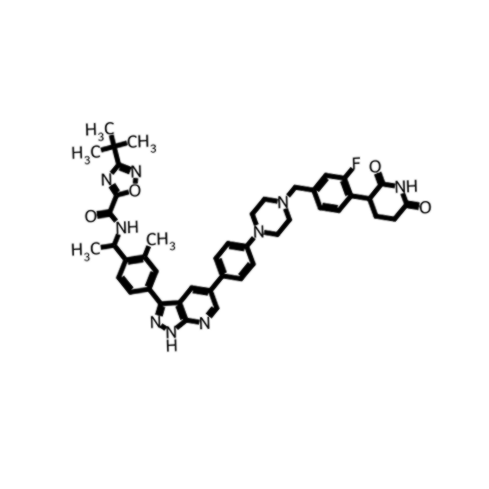 Cc1cc(-c2n[nH]c3ncc(-c4ccc(N5CCN(Cc6ccc(C7CCC(=O)NC7=O)c(F)c6)CC5)cc4)cc23)ccc1C(C)NC(=O)c1nc(C(C)(C)C)no1